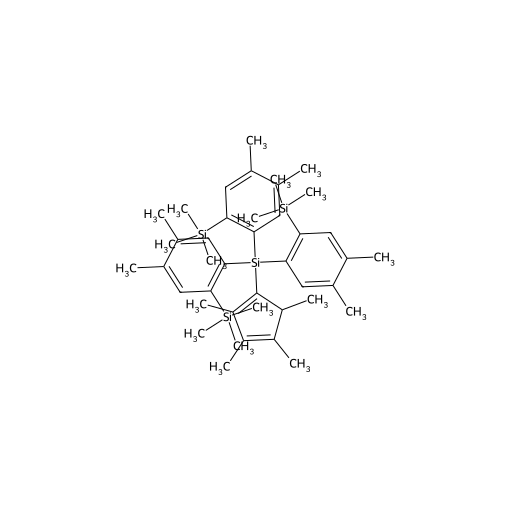 CC1=C(C)C(C)C([Si](c2cc(C)c(C)cc2[Si](C)(C)C)(c2cc(C)c(C)cc2[Si](C)(C)C)c2cc(C)c(C)cc2[Si](C)(C)C)=C1C